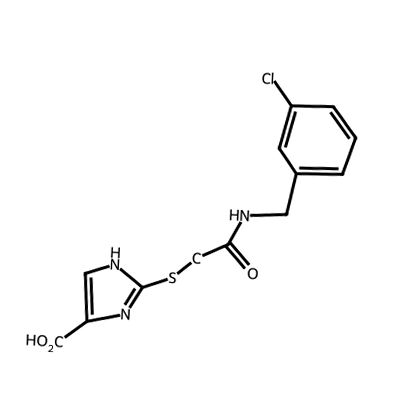 O=C(CSc1nc(C(=O)O)c[nH]1)NCc1cccc(Cl)c1